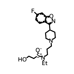 CCN(CCCN1CCC(c2noc3cc(F)ccc23)CC1)[S+]([O-])CCO